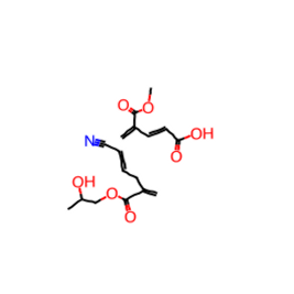 C=C(C=CC(=O)O)C(=O)OC.C=C(CC=CC#N)C(=O)OCC(C)O